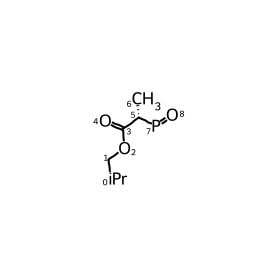 CC(C)COC(=O)[C@H](C)P=O